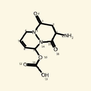 NC1CC(=O)N2CC=CC(OC(=O)O)N2C1=O